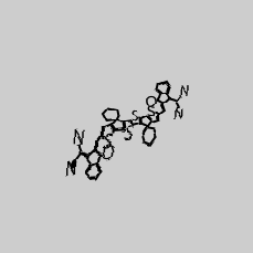 N#CC(C#N)=C1/C(=C/c2cc3c(s2)-c2sc4c5c(sc4c2C32CCCCC2)-c2sc(/C=C3\C(=O)c4ccccc4C3=C(C#N)C#N)cc2C52CCCCC2)C(=O)c2ccccc21